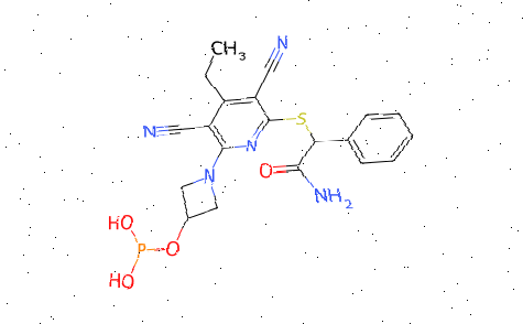 CCc1c(C#N)c(SC(C(N)=O)c2ccccc2)nc(N2CC(OP(O)O)C2)c1C#N